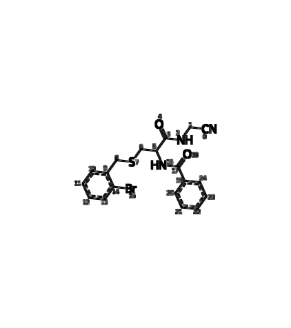 N#CCNC(=O)C(CSCc1ccccc1Br)NC(=O)c1ccccc1